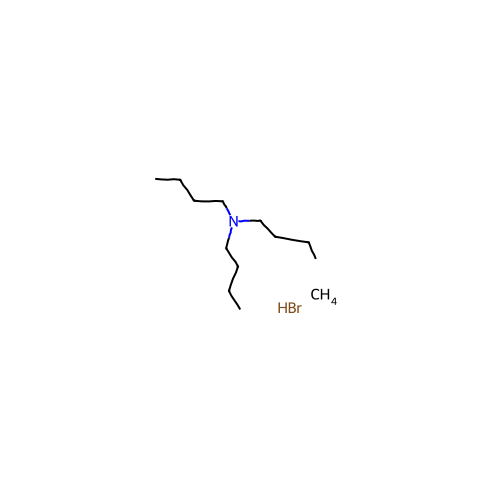 Br.C.CCCCN(CCCC)CCCC